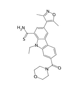 CCn1c2cc(C(=O)N3CCOCC3)ccc2c2cc(-c3c(C)noc3C)cc(C(N)=S)c21